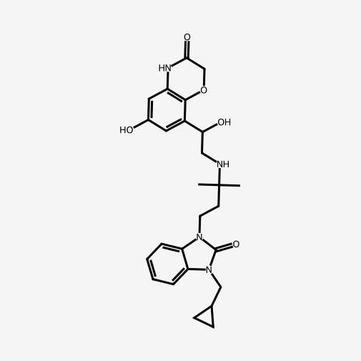 CC(C)(CCn1c(=O)n(CC2CC2)c2ccccc21)NCC(O)c1cc(O)cc2c1OCC(=O)N2